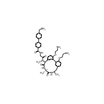 BCc1ccc(-c2ccc(C(=O)NCC(=O)N(C)C3C(=O)N[C@@H](C)C(=O)NC(C)Cc4ccc(OCCN)c(c4)-c4cc3ccc4OCCN)cc2)cc1